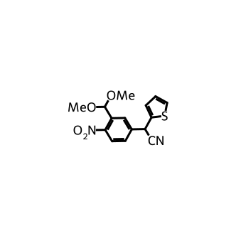 COC(OC)c1cc(C(C#N)c2cccs2)ccc1[N+](=O)[O-]